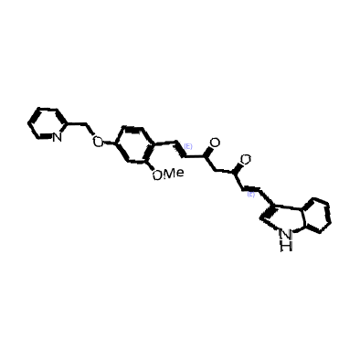 COc1cc(OCc2ccccn2)ccc1/C=C/C(=O)CC(=O)/C=C/c1c[nH]c2ccccc12